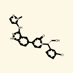 Cn1nccc1Nc1n[nH]c2ccc(-c3ccn([C@H](CO)c4cccc(Cl)c4)c(=O)c3)cc12